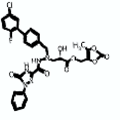 Cc1oc(=O)oc1COC(=O)[C@H](O)CN(Cc1ccc(-c2cc(Cl)ccc2F)cc1)NC(=O)c1nn(-c2ccccc2)c(=O)[nH]1